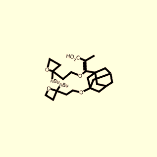 CCCCC1(CCOC(=C(C)C(=O)O)C23CC4CC(CC(OCCC5(CCCC)CCO5)(C4)C2)C3)CCO1